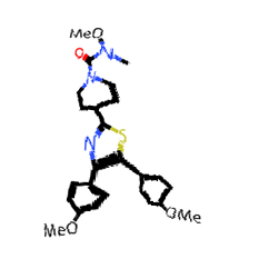 COc1ccc(-c2nc(C3CCN(C(=O)N(C)OC)CC3)sc2-c2ccc(OC)cc2)cc1